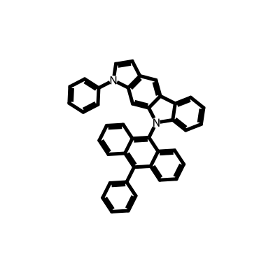 c1ccc(-c2c3ccccc3c(-n3c4ccccc4c4cc5ccn(-c6ccccc6)c5cc43)c3ccccc23)cc1